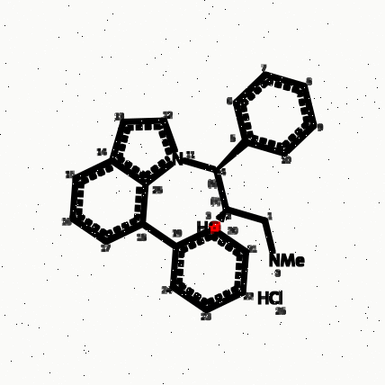 CNC[C@@H](O)[C@H](c1ccccc1)n1ccc2cccc(-c3ccccc3)c21.Cl